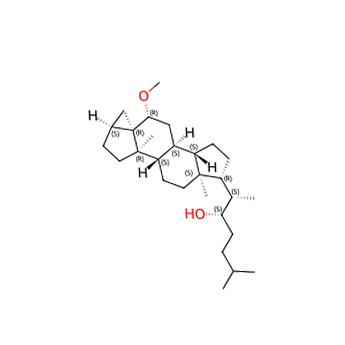 CO[C@@H]1C[C@H]2[C@@H]3CC[C@H]([C@H](C)[C@@H](O)CCC(C)C)[C@@]3(C)CC[C@@H]2[C@@]2(C)CC[C@H]3C[C@]312